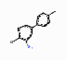 CCc1ccc(-c2ccc(C)cc2)cc1N